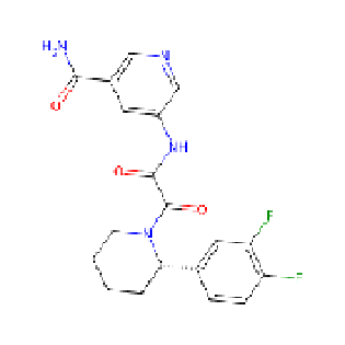 NC(=O)c1cncc(NC(=O)C(=O)N2CCCC[C@H]2c2ccc(F)c(F)c2)c1